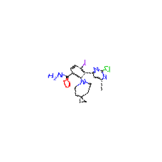 Cc1cc(-c2c(I)ccc(C(N)=O)c2N2CCC3(CC2)CC3)nc(Cl)n1